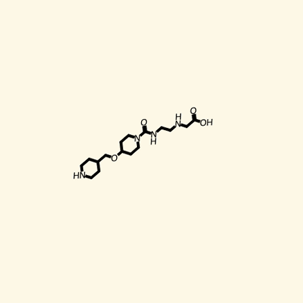 O=C(O)CNCCNC(=O)N1CCC(OCC2CCNCC2)CC1